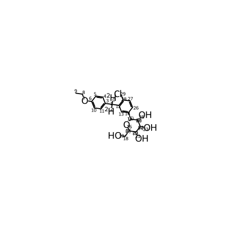 [2H]C([2H])(c1ccc(OCC)cc1)c1cc([C@@H]2O[C@H](CO)[C@@H](O)[C@H](O)[C@H]2O)ccc1Cl